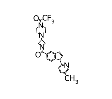 Cc1ccc(C2C=Cc3cc(C(=O)N4CC(N5CCN(C(=O)C(F)(F)F)CC5)C4)ccc32)nc1